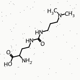 CN(C)CCCNC(=O)NCCC(N)C(=O)O